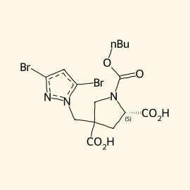 CCCCOC(=O)N1CC(Cn2nc(Br)cc2Br)(C(=O)O)C[C@H]1C(=O)O